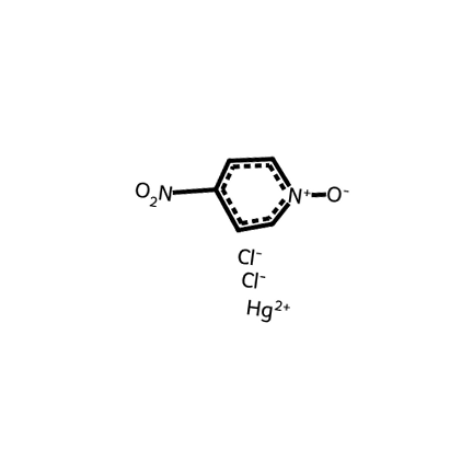 O=[N+]([O-])c1cc[n+]([O-])cc1.[Cl-].[Cl-].[Hg+2]